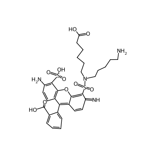 N=c1ccc2c(-c3ccccc3C(=O)O)c3ccc(N)c(S(=O)(=O)O)c3oc-2c1S(=O)(=O)N(CCCCCN)CCCCCC(=O)O